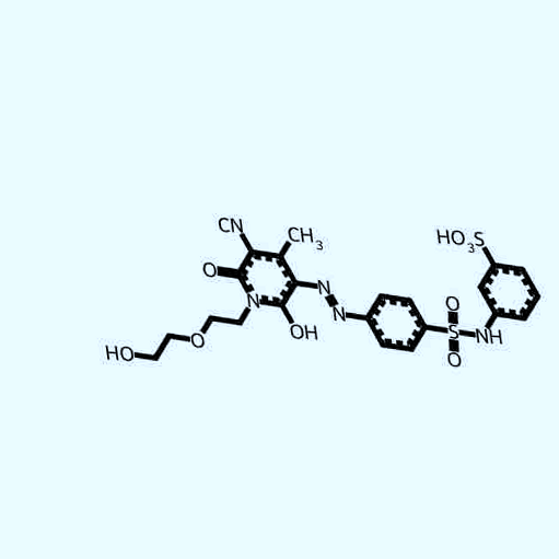 [C-]#[N+]c1c(C)c(/N=N/c2ccc(S(=O)(=O)Nc3cccc(S(=O)(=O)O)c3)cc2)c(O)n(CCOCCO)c1=O